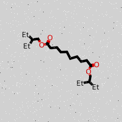 CCC(CC)COC(=O)CCCCCCCCC(=O)OCC(CC)CC